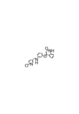 O=c1cc(Oc2cccc(NCc3ccc(Cl)nc3)c2)c2ccccc2[nH]1